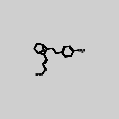 CCCCCO/N=C/C1C2CCC(O2)C1CCc1ccc(C(=O)O)cc1